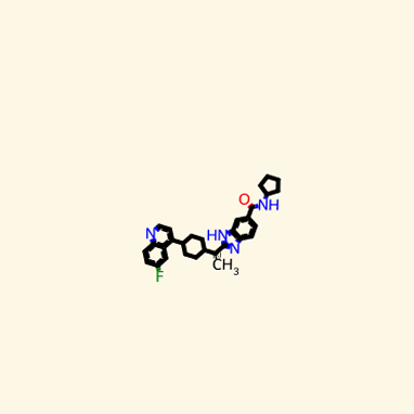 C[C@@H](c1nc2ccc(C(=O)NC3CCCC3)cc2[nH]1)C1CCC(c2ccnc3ccc(F)cc23)CC1